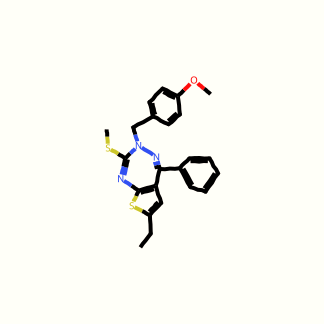 CCc1cc2c(s1)N=C(SC)N(Cc1ccc(OC)cc1)N=C2c1ccccc1